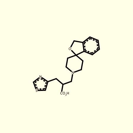 O=C(O)C(Cc1cscn1)CN1CCC2(CC1)OCc1ccccc12